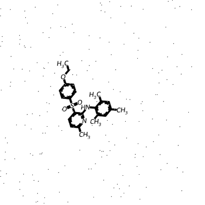 CCOc1ccc(S(=O)(=O)c2ccc(C)nc2Nc2c(C)cc(C)cc2C)cc1